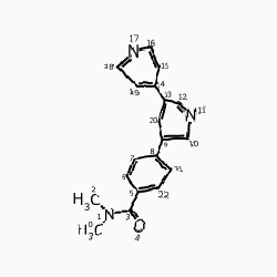 CN(C)C(=O)c1ccc(-c2cncc(-c3ccncc3)c2)cc1